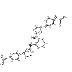 O=[N+]([O-])c1ccc(N2CCC[C@H](N[C@@H]3CCCC[C@H]3Nc3ncc(-c4ccc(OC(F)F)cc4)o3)C2)cc1